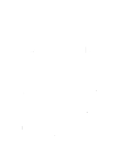 CCC(Cl)(Cl)[C](C(Cl)(Cl)CC)C(C)(C)C(Br)(Br)Br